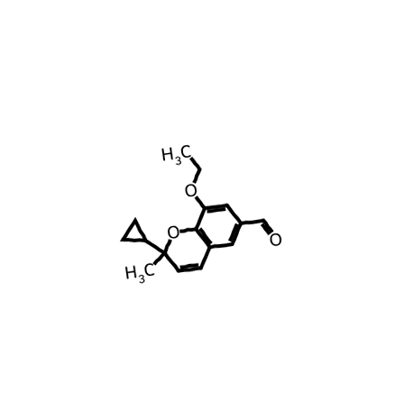 CCOc1cc(C=O)cc2c1OC(C)(C1CC1)C=C2